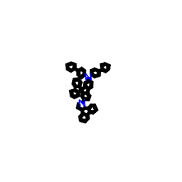 c1ccc(-c2ccc(N(c3ccc(-c4ccccc4)cc3)c3ccc4c(c3)C(c3ccccc3)(c3ccccc3)c3cc(-n5ccc6c7ccccc7c7ccccc7c65)ccc3-4)cc2)cc1